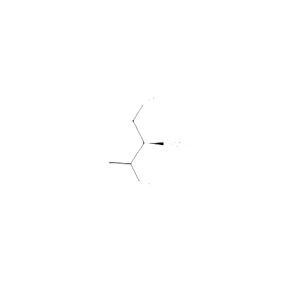 CCC(OC(C)=O)[C@@H](COC(C)=O)OC